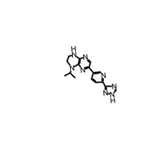 CC(C)N1CCNc2ncc(-c3ccc(-c4nc[nH]n4)nc3)nc21